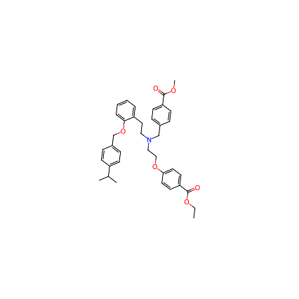 CCOC(=O)c1ccc(OCCN(CCc2ccccc2OCc2ccc(C(C)C)cc2)Cc2ccc(C(=O)OC)cc2)cc1